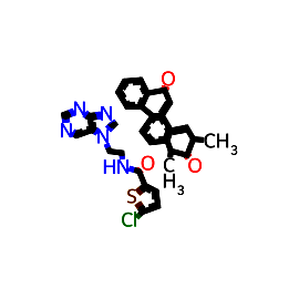 CC1C=c2c(ccc3c2=CC(=O)c2ccccc2-3)C(C)C1=O.O=C(NCCn1cnc2ncncc21)c1ccc(Cl)s1